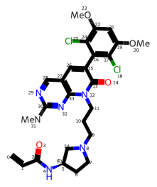 C=CC(=O)N[C@@H]1CCN(CCCn2c(=O)c(-c3c(Cl)c(OC)cc(OC)c3Cl)cc3cnc(NC)nc32)C1